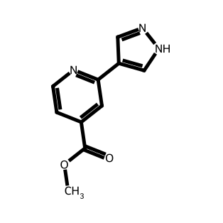 COC(=O)c1ccnc(-c2cn[nH]c2)c1